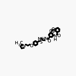 C[C@@H]1CCCN1CCCOc1ccc(-c2ncc(CNC(=O)c3ccc4c(c3)NC(=O)c3ccccc3S4(=O)=O)s2)cc1